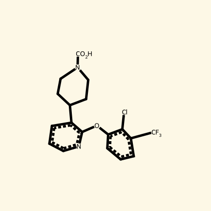 O=C(O)N1CCC(c2cccnc2Oc2cccc(C(F)(F)F)c2Cl)CC1